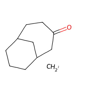 O=C1CCC2CCCC(C1)C2.[CH2]